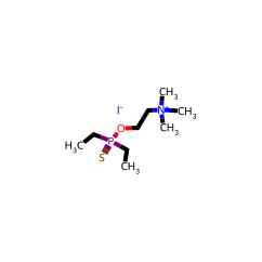 CCP(=S)(CC)OCC[N+](C)(C)C.[I-]